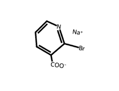 O=C([O-])c1cccnc1Br.[Na+]